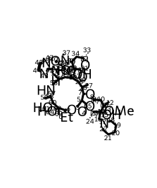 CCC1OC(=O)C(C)C(O[C@H]2C[C@@](C)(OC)[C@](O)(CN3CCCCC3)[C@H](C)O2)C(C)C(O[C@H]2O[C@@H](C)C[C@@H](N(C)S(=O)(=O)Nc3nccn3C)[C@@H]2O)C(C)(O)CC(C)CNC(C)C(O)C1(C)O